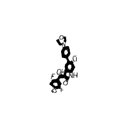 COc1cc(F)c(C(O)=C2C(=O)Nc3cc(Cl)c(-c4ccc(N5CCOCC5)cc4)cc32)cc1F